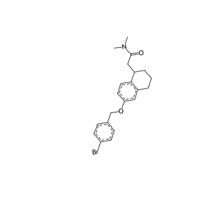 CN(C)C(=O)CC1CCCc2cc(OCc3ccc(Br)cc3)ccc21